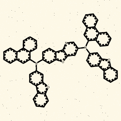 c1ccc2c(c1)cc(N(c1ccc3c(c1)oc1ccccc13)c1ccc3c(c1)oc1cc(N(c4ccc5c(c4)oc4ccccc45)c4cc5ccccc5c5ccccc45)cnc13)c1ccccc12